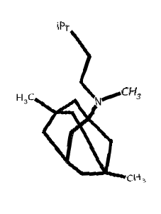 CC(C)CCN(C)C12CC3CC(C)(CC(C)(C3)C1)C2